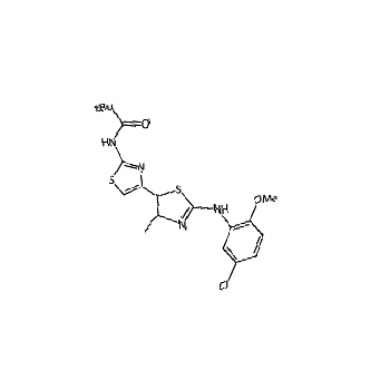 COc1ccc(Cl)cc1NC1=NC(C)C(c2csc(NC(=O)C(C)(C)C)n2)S1